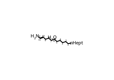 CCCCCCCCCCCCCCCCC=CN.O